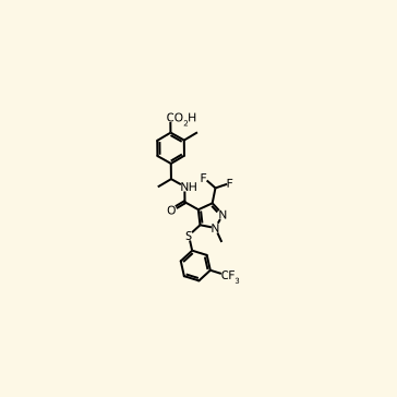 Cc1cc(C(C)NC(=O)c2c(C(F)F)nn(C)c2Sc2cccc(C(F)(F)F)c2)ccc1C(=O)O